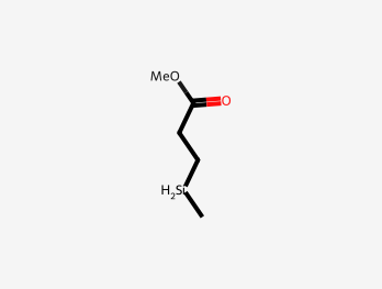 COC(=O)CC[SiH2]C